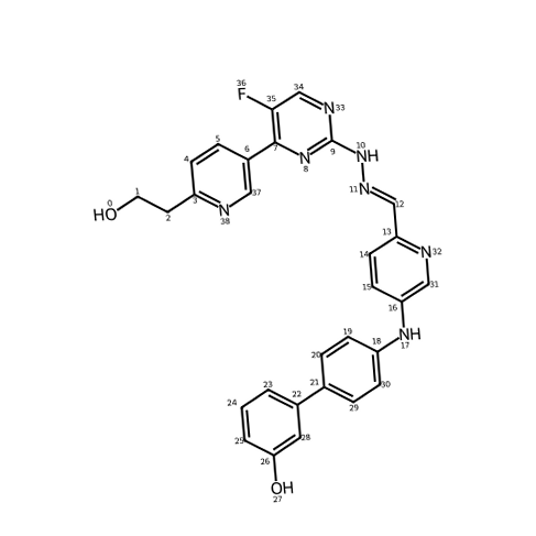 OCCc1ccc(-c2nc(N/N=C/c3ccc(Nc4ccc(-c5cccc(O)c5)cc4)cn3)ncc2F)cn1